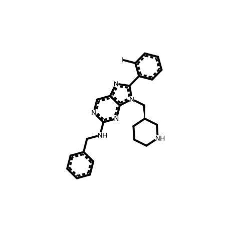 Ic1ccccc1-c1nc2cnc(NCc3ccccc3)nc2n1C[C@@H]1CCCNC1